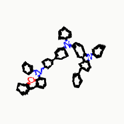 c1ccc(-c2ccc3c(c2)c2cc(N(c4ccccc4)c4ccc(-c5ccc(N(c6ccccc6)c6cccc7c6oc6ccccc67)cc5)cc4)ccc2n3-c2ccccc2)cc1